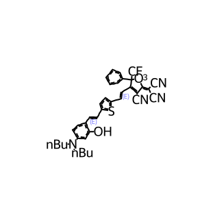 CCCCN(CCCC)c1ccc(/C=C/c2ccc(/C=C/C3=C(C#N)C(=C(C#N)C#N)OC3(c3ccccc3)C(F)(F)F)s2)c(O)c1